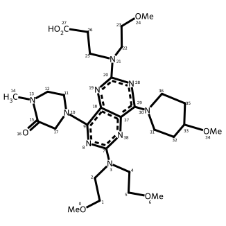 COCCN(CCOC)c1nc(N2CCN(C)C(=O)C2)c2nc(N(CCOC)CCC(=O)O)nc(N3CCC(OC)CC3)c2n1